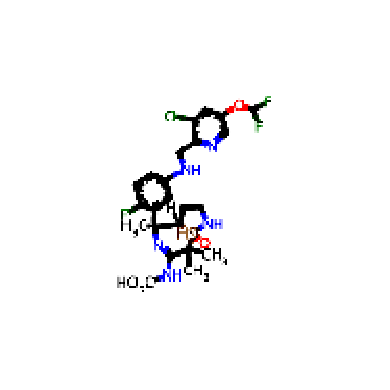 CC1(C)C(NC(=O)O)=N[C@](C)(c2cc(NCc3ncc(OC(F)F)cc3Cl)ccc2F)[C@@H]2CCN[SH]21=O